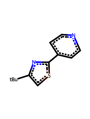 CC(C)(C)c1csc(-c2ccncc2)n1